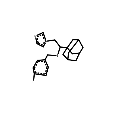 Fc1ccc(CSC(Cn2ccnc2)C23CC4CC(CC(C4)C2)C3)cc1